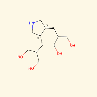 OCC(CO)C[C@@H]1CNC[C@H]1CC(CO)CO